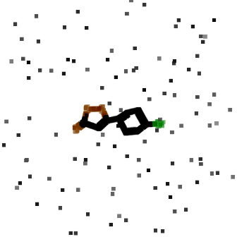 S=c1cc(-c2ccc(Br)cc2)ss1